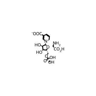 NCC(=O)O.O=C([O-])c1ccc[n+]([C@@H]2O[C@H](COP(=O)(O)O)[C@@H](O)[C@H]2O)c1